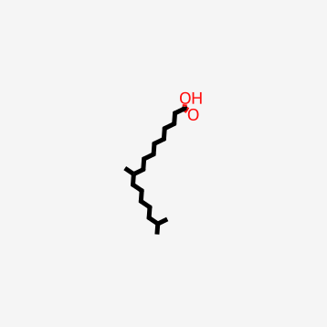 CC(C)CCCCCC(C)CCCCCCCCC(=O)O